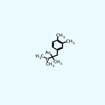 CC(=O)C(C)(Cc1ccc(C)c(C)c1)N(C)C